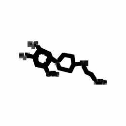 CNCCNC1CCN(c2cc(C)c(N)cc2OC)CC1